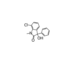 CN1C(=O)C(O)(c2ccccc2)c2cccc(Cl)c21